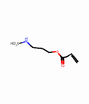 C=CC(=O)OCCCNS(=O)(=O)O